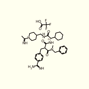 CC(=N)N1CCC(CNC(=O)[C@@H](NC(=O)C(Cc2ccc(C(=N)N)cc2)C(=O)N(C)Cc2ccccc2)C2CCCCC2)CC1.O=C(O)C(F)(F)F